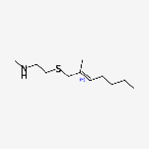 CCCC/C=C(\C)CSCCNC